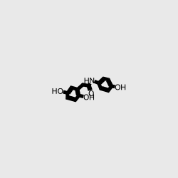 O=C(Cc1cc(O)ccc1O)Nc1ccc(O)cc1